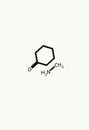 CN.O=C1CCCCC1